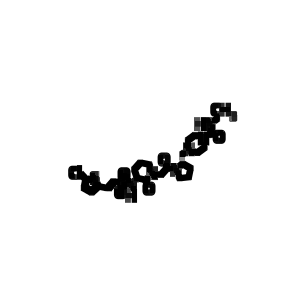 CCNC(=O)N1CCN(C[C@@H]2CCCN2C(=O)CN2CCC[C@H](NS(=O)(=O)/C=C/c3ccc(Cl)s3)C2=O)CC1